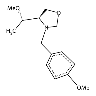 COc1ccc(CN2COC[C@@H]2[C@H](C)OC)cc1